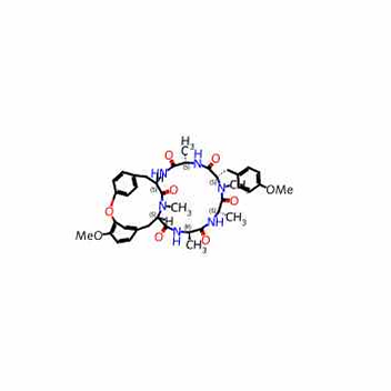 COc1ccc(C[C@H]2C(=O)N[C@@H](C)C(=O)N[C@H]3Cc4ccc(cc4)Oc4cc(ccc4OC)C[C@@H](C(=O)N[C@H](C)C(=O)N[C@@H](C)C(=O)N2C)N(C)C3=O)cc1